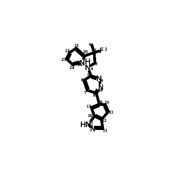 CC(F)(CNc1ccc(-c2ccc3cn[nH]c3c2)nn1)c1ccccn1